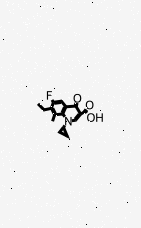 CCc1c(F)cc2c(=O)c(C(=O)O)cn(C3CC3)c2c1C